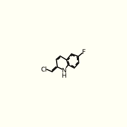 Fc1ccc2c(c1)C=C/C(=C\Cl)N2